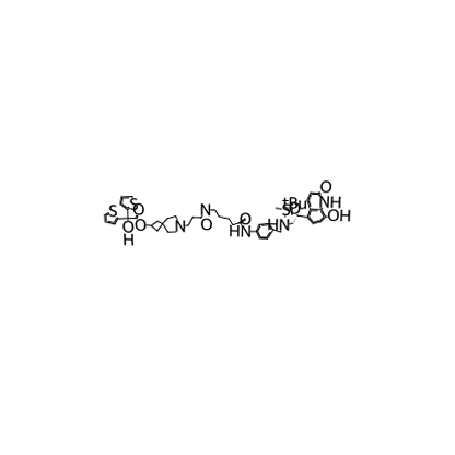 CN(CCCCC(=O)Nc1ccc(CNC[C@H](O[Si](C)(C)C(C)(C)C)c2ccc(O)c3[nH]c(=O)ccc23)cc1)C(=O)CCN1CCC2(CC1)CC(OC(=O)C(O)(c1cccs1)c1cccs1)C2